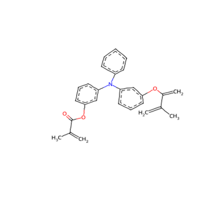 C=C(C)C(=C)Oc1cccc(N(c2ccccc2)c2cccc(OC(=O)C(=C)C)c2)c1